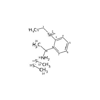 C[CH2][Sn+2][c]1ccccc1C(C)N.C[S-].C[S-]